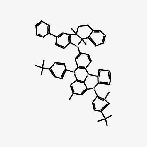 Cc1cc2c3c(c1)N(c1ccc(C(C)(C)C)cc1C)c1ccccc1B3c1ccc(N3c4ccc(-c5ccccn5)cc4C4(C)CCc5ccccc5C34C)cc1N2c1ccc(C(C)(C)C)cc1